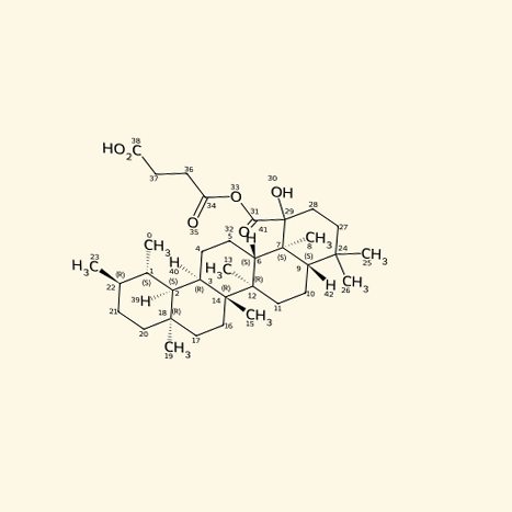 C[C@@H]1[C@H]2[C@H]3CC[C@@H]4[C@]5(C)[C@@H](CC[C@@]4(C)[C@]3(C)CC[C@@]2(C)CC[C@H]1C)C(C)(C)CCC5(O)C(=O)OC(=O)CCC(=O)O